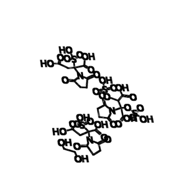 O=C(O)C(OS(=O)(=O)O)C(OS(=O)(=O)O)(C(=O)O)N1C(=O)CCC1=O.O=C(O)CC(C(=O)O)(N1C(=O)CCC1=O)S(=O)(=O)O.O=C(O)CC(C(=O)O)(N1C(=O)CCC1=O)S(=O)(=O)O.OCCO